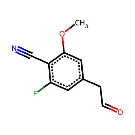 COc1cc(CC=O)cc(F)c1C#N